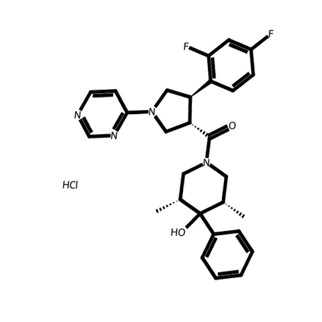 C[C@@H]1CN(C(=O)[C@@H]2CN(c3ccncn3)C[C@H]2c2ccc(F)cc2F)C[C@H](C)C1(O)c1ccccc1.Cl